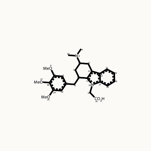 COc1cc(CC2CC(N(C)C)Cc3c2n(CC(=O)O)c2ccccc32)cc(OC)c1OC